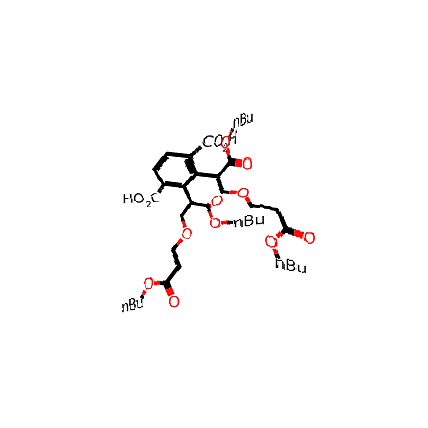 CCCCOC(=O)CCOCC(C(=O)OCCCC)c1c(C(=O)O)ccc(C(=O)O)c1C(COCCC(=O)OCCCC)C(=O)OCCCC